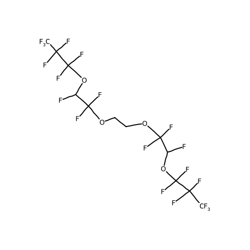 FC(OC(F)(F)C(F)(F)C(F)(F)F)C(F)(F)OCCOC(F)(F)C(F)OC(F)(F)C(F)(F)C(F)(F)F